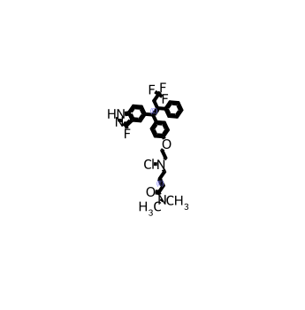 CN(C)C(=O)/C=C/CN(Cl)CCOc1ccc(/C(=C(/CC(F)(F)F)c2ccccc2)c2ccc3[nH]nc(F)c3c2)cc1